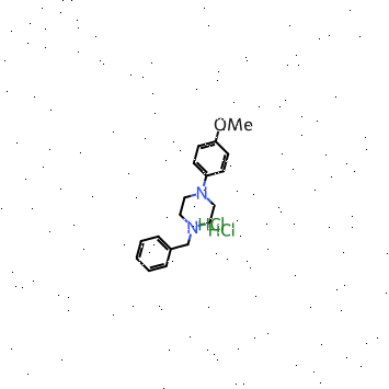 COc1ccc(N2CCN(Cc3ccccc3)CC2)cc1.Cl.Cl